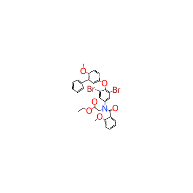 CCOC(=O)CN(C(=O)c1ccccc1OC)c1cc(Br)c(Oc2ccc(OC)c(-c3ccccc3)c2)c(Br)c1